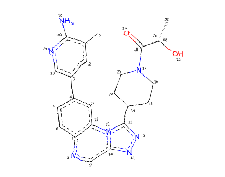 Cc1cc(-c2ccc3ncc4nnc(C5CCN(C(=O)[C@H](C)O)CC5)n4c3c2)cnc1N